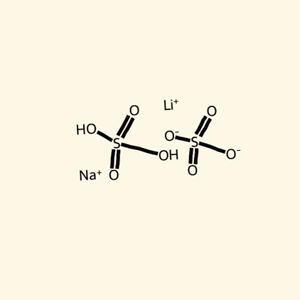 O=S(=O)(O)O.O=S(=O)([O-])[O-].[Li+].[Na+]